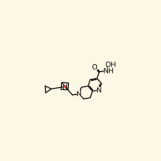 O=C(NO)c1cnc2c(c1)CN(CC13CC(C1)N(C1CC1)C3)CC2